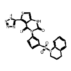 O=c1[nH]c2csc(-c3nnn[nH]3)c2c(=O)n1-c1cccc(S(=O)(=O)N2CCCc3ccccc32)c1